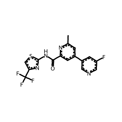 Cc1cc(-c2cncc(F)c2)cc(C(=O)Nc2nc(C(F)(F)F)cs2)n1